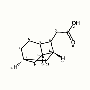 O=C(O)CC1C2CC[C@@H]3C[C@H]2[C@H]1C3